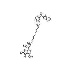 O=C(c1cc2ccccc2s1)N1CCOC2(CCN(CCCCCCCCCNCC(O)c3ccc(O)c4[nH]c(=O)sc34)CC2)C1